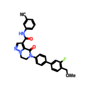 COCc1ccc(-c2ccc(N3CCn4ncc(C(=O)Nc5cccc(C#N)c5)c4C3=O)cc2)cc1F